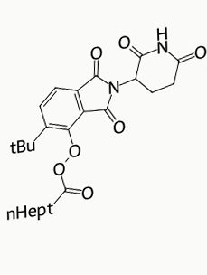 CCCCCCCC(=O)OOc1c(C(C)(C)C)ccc2c1C(=O)N(C1CCC(=O)NC1=O)C2=O